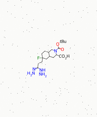 CC(C)(C)OC(=O)N1CC2CCC(F)(CC/C(=N/N)NN)CC2CC1C(=O)O